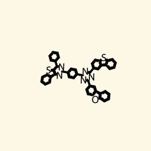 c1ccc(-c2nc(-c3ccc(-c4nc(-c5ccc6oc7ccccc7c6c5)nc(-c5ccc6sc7ccccc7c6c5)n4)cc3)nc3c2sc2ccccc23)cc1